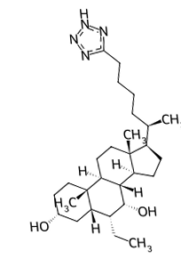 CC[C@H]1[C@@H](O)[C@@H]2[C@H](CC[C@]3(C)[C@@H]([C@H](C)CCCCc4nn[nH]n4)CC[C@@H]23)[C@@]2(C)CC[C@@H](O)C[C@@H]12